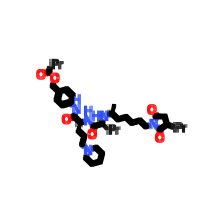 CC(C)C(=O)OCc1ccc(NC(=O)[C@H](CCCN2CCCCC2)NC(=O)[C@@H](N[C@@H](C)CCCCCN2C(=O)CC(C(C)C)C2=O)C(C)C)cc1